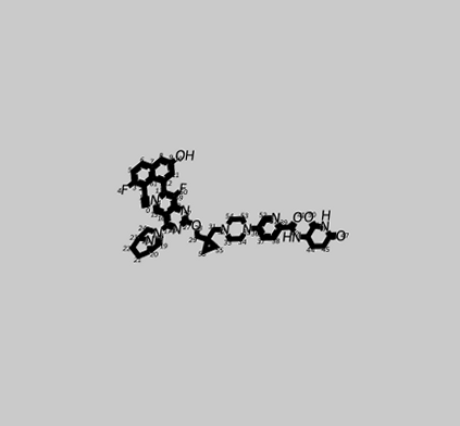 C#Cc1c(F)ccc2cc(O)cc(-c3ncc4c(N5CC6CCC(C5)N6)nc(OCC5(CN6CCN(c7ccc(C(=O)NC8CCC(=O)NC8=O)nc7)CC6)CC5)nc4c3F)c12